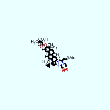 CSCCC(CN[C@]12CC[C@@H](C3(C)CC3)[C@@H]1[C@H]1CC[C@@H]3[C@@]4(C)CC[C@H](OC(=O)CC(C)(C)C(=O)O)C(C)(C)[C@@H]4CC[C@@]3(C)[C@]1(C)CC2)N1CCS(=O)(=O)CC1